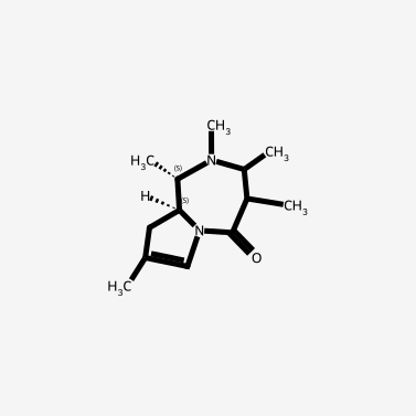 CC1=CN2C(=O)C(C)C(C)N(C)[C@@H](C)[C@@H]2C1